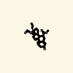 CCC[C@]1(OC=O)CCC2C3C(=CCC21C)C1(C)CCC(=O)C=C1CC3C(=O)OC